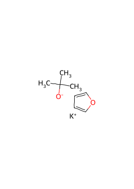 CC(C)(C)[O-].[K+].c1ccoc1